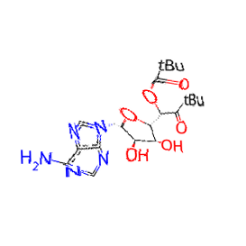 CC(C)(C)C(=O)OC(C(=O)C(C)(C)C)[C@H]1O[C@@H](n2cnc3c(N)ncnc32)[C@H](O)[C@@H]1O